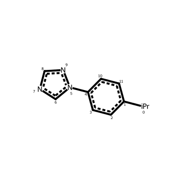 CC(C)c1ccc(-n2cncn2)cc1